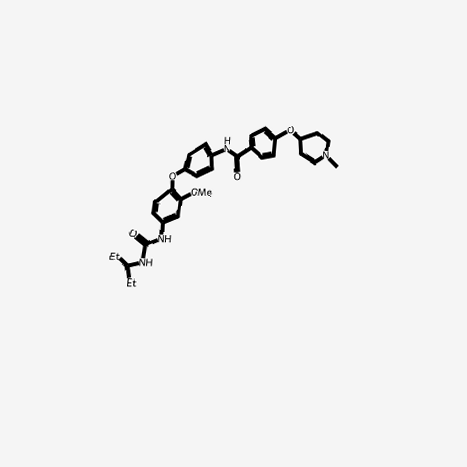 CCC(CC)NC(=O)Nc1ccc(Oc2ccc(NC(=O)c3ccc(OC4CCN(C)CC4)cc3)cc2)c(OC)c1